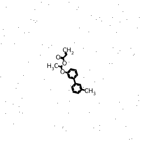 C=CC(=O)OC(C)Oc1cccc(-c2cccc(C)c2)c1